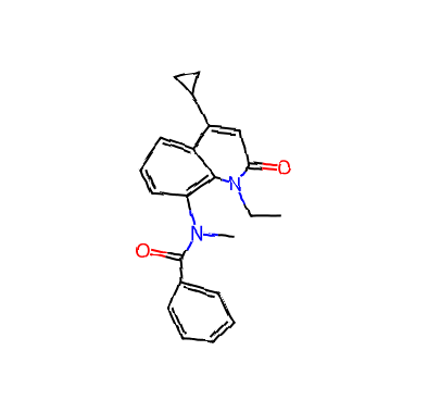 CCn1c(=O)cc(C2CC2)c2cccc(N(C)C(=O)c3ccccc3)c21